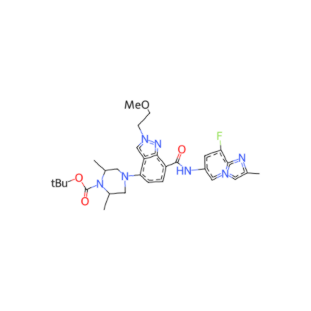 COCCn1cc2c(N3CC(C)N(C(=O)OC(C)(C)C)C(C)C3)ccc(C(=O)Nc3cc(F)c4nc(C)cn4c3)c2n1